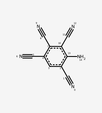 N#Cc1cc(C#N)c(C#N)c(C#N)c1N